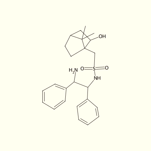 CC1(C)C2CCC1(CS(=O)(=O)NC(c1ccccc1)C(N)c1ccccc1)C(O)C2